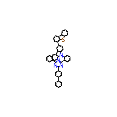 c1ccc(-c2ccc(-c3nc(-c4ccccc4)nc(-c4ccccc4-n4c5ccccc5c5cc(-c6cccc7c6sc6ccccc67)ccc54)n3)cc2)cc1